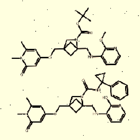 COc1ncccc1NCC12CC(COc3cc(C)n(C)c(=O)c3)(CN1C(=O)OC(C)(C)C)C2.Cc1cc(OCC23CN(C(=O)NC4(c5ccccc5)CC4)C(CNc4cccnc4O)(C2)C3)cc(=O)n1C